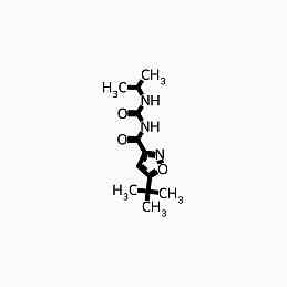 CC(C)NC(=O)NC(=O)c1cc(C(C)(C)C)on1